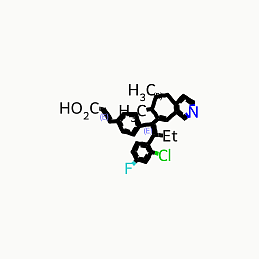 CC/C(=C(\C1=Cc2cnccc2C[C@@H](C)C1C)c1ccc(/C=C/C(=O)O)cc1)c1ccc(F)cc1Cl